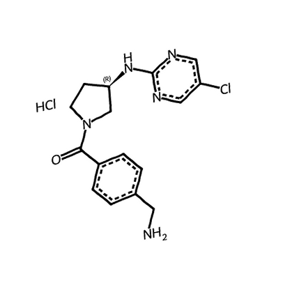 Cl.NCc1ccc(C(=O)N2CC[C@@H](Nc3ncc(Cl)cn3)C2)cc1